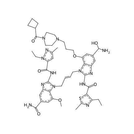 CCc1nc(C)sc1C(=O)Nc1nc2cc(C(N)O)cc(OCCCN3CCN(C(=O)C4CCC4)CC3)c2n1C/C=C/Cn1c(NC(=O)c2cc(C)nn2CC)nc2cc(C(N)=O)cc(OC)c21